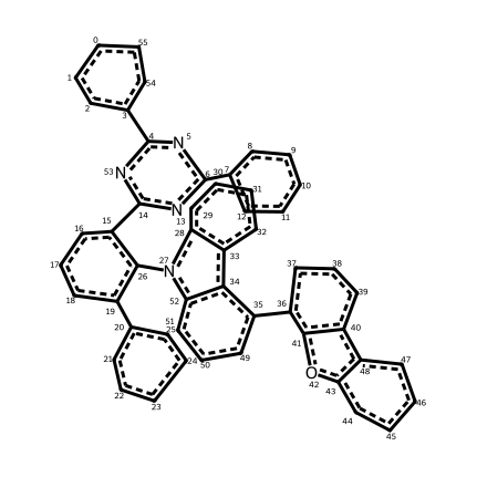 c1ccc(-c2nc(-c3ccccc3)nc(-c3cccc(-c4ccccc4)c3-n3c4ccccc4c4c(-c5cccc6c5oc5ccccc56)cccc43)n2)cc1